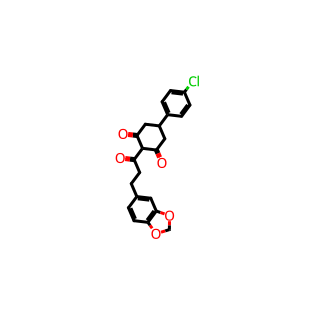 O=C(CCc1ccc2c(c1)OCO2)C1C(=O)CC(c2ccc(Cl)cc2)CC1=O